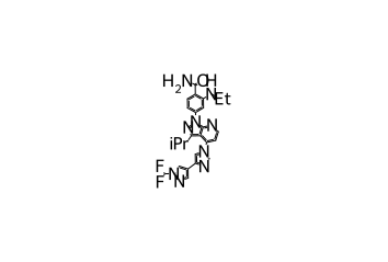 CCNc1cc(-n2nc(C(C)C)c3c(-n4cnc(-c5cnn(C(F)F)c5)c4)ccnc32)ccc1C(N)=O